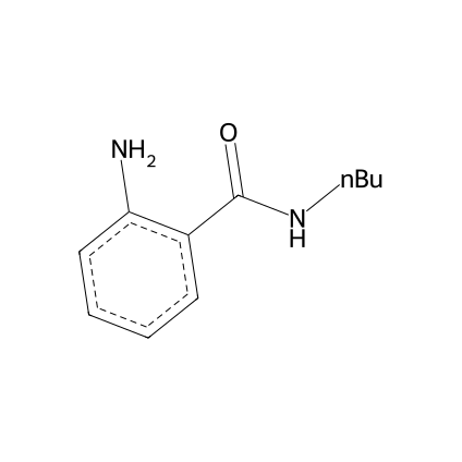 CCCCNC(=O)c1ccccc1N